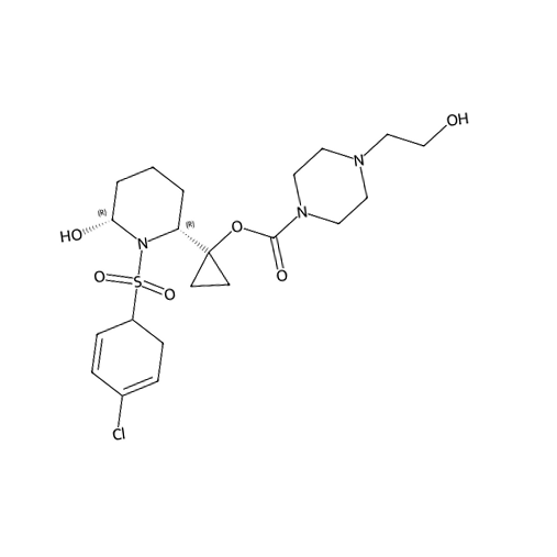 O=C(OC1([C@H]2CCC[C@@H](O)N2S(=O)(=O)C2C=CC(Cl)=CC2)CC1)N1CCN(CCO)CC1